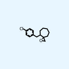 Clc1ccc(CC2CCCCCC23CO3)cc1